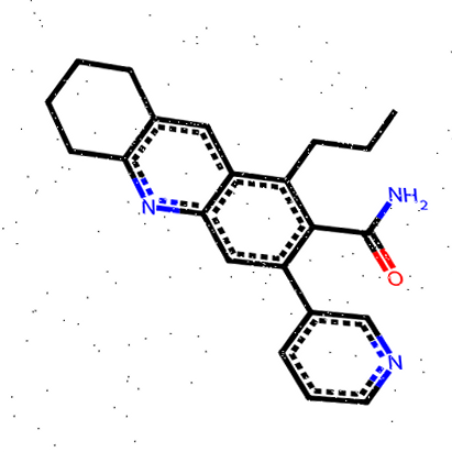 CCCc1c(C(N)=O)c(-c2cccnc2)cc2nc3c(cc12)CCCC3